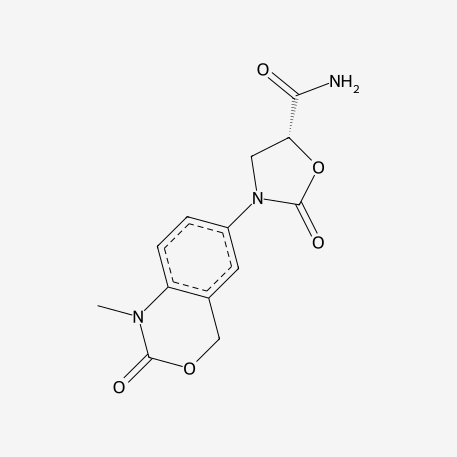 CN1C(=O)OCc2cc(N3C[C@H](C(N)=O)OC3=O)ccc21